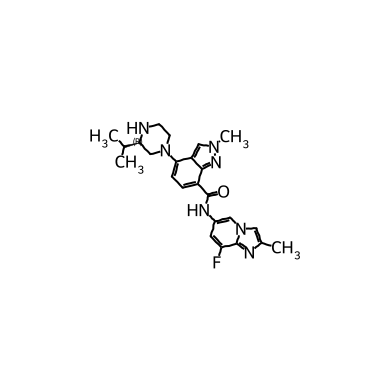 Cc1cn2cc(NC(=O)c3ccc(N4CCN[C@H](C(C)C)C4)c4cn(C)nc34)cc(F)c2n1